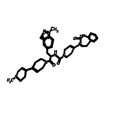 CN1CCC(C2CCN(C(=O)C(Cc3ccc4c(cnn4C)c3)NC(=O)N3CCC(N4CCc5ccccc5NC4=O)CC3)CC2)CC1